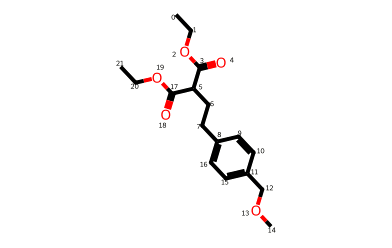 CCOC(=O)C(CCc1ccc(COC)cc1)C(=O)OCC